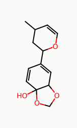 CC1C=COC(C2=CC3OCOC3(O)C=C2)C1